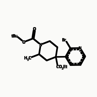 CCOC(=O)C1(c2cccnc2Br)CCN(C(=O)OC(C)(C)C)C(C)C1